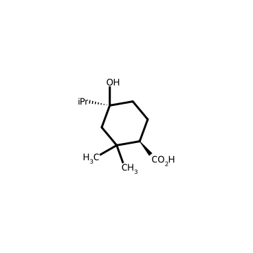 CC(C)[C@]1(O)CC[C@@H](C(=O)O)C(C)(C)C1